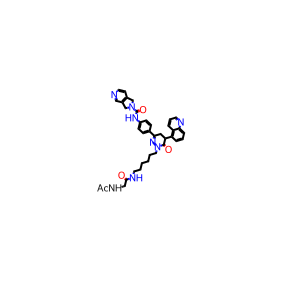 CC(=O)NCC(=O)NCCCCCCN1N=C(c2ccc(NC(=O)N3Cc4ccncc4C3)cc2)CC(c2cccc3ncccc23)C1=O